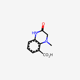 CN1CC(=O)Nc2cccc(C(=O)O)c21